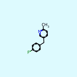 Cc1ccc(Cc2ccc(F)cc2)cn1